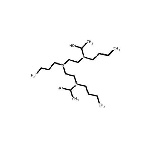 CCCCN(CCN(CCCC)C(C)O)CCN(CCCC)C(C)O